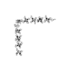 O.O.O.O.O=S(=O)([O-])[O-].[Ce+4].[NH4+].[NH4+].[O]=[Mo](=[O])([O-])[O-].[O]=[Mo](=[O])([O-])[O-].[O]=[Mo](=[O])([O-])[O-].[O]=[Mo](=[O])([O-])[O-].[O]=[Mo](=[O])([O-])[O-].[O]=[Mo](=[O])([O-])[O-].[O]=[Mo](=[O])([O-])[O-]